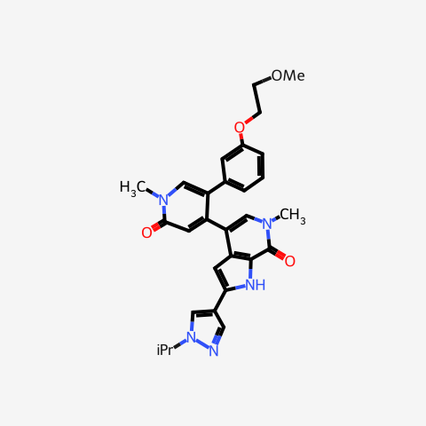 COCCOc1cccc(-c2cn(C)c(=O)cc2-c2cn(C)c(=O)c3[nH]c(-c4cnn(C(C)C)c4)cc23)c1